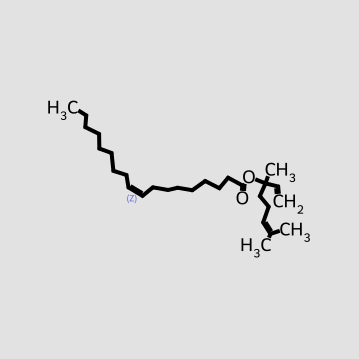 C=CC(C)(CCC=C(C)C)OC(=O)CCCCCCC/C=C\CCCCCCCC